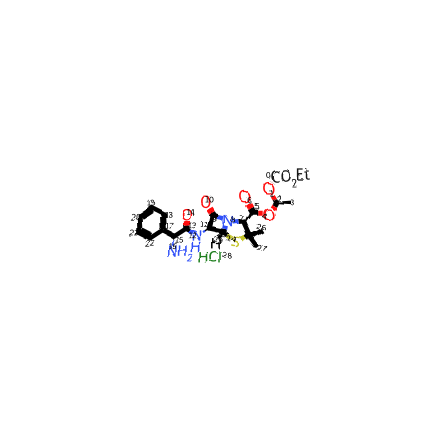 CCOC(=O)O[C@@H](C)OC(=O)[C@@H]1N2C(=O)[C@@H](NC(=O)[C@H](N)c3ccccc3)[C@H]2SC1(C)C.Cl